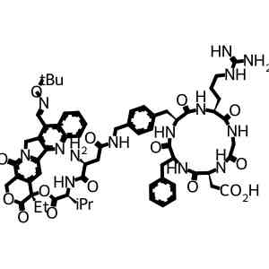 CC[C@@]1(OC(=O)[C@@H](NC(=O)[C@@H](N)CC(=O)NCc2ccc(C[C@@H]3NC(=O)C(Cc4ccccc4)NC(=O)[C@H](CC(=O)O)NC(=O)CNC(=O)[C@H](CCCNC(=N)N)NC3=O)cc2)C(C)C)C(=O)OCc2c1cc1n(c2=O)Cc2c-1nc1ccccc1c2/C=N/OC(C)(C)C